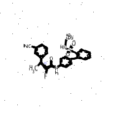 C/C(=C(\F)C(=O)Nc1ccc(-c2ccccc2S(=O)(=O)NC(C)(C)C)cc1)c1cccc(C#N)c1